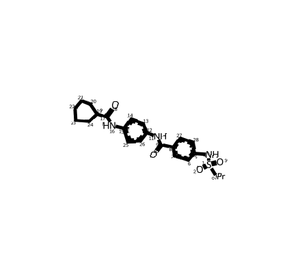 CC(C)S(=O)(=O)Nc1ccc(C(=O)Nc2ccc(NC(=O)C3CCCCC3)cc2)cc1